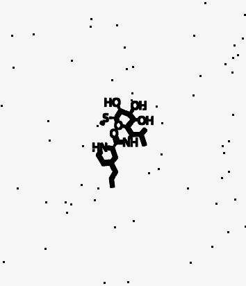 CCCC1=CCN[C@H](C(=O)N[C@H](C(C)C)[C@H]2O[C@H](SC)[C@H](O)[C@@H](O)[C@H]2O)C1